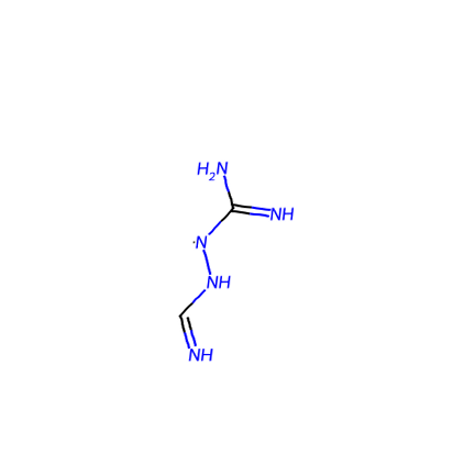 N=CN[N]C(=N)N